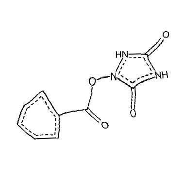 O=C(On1[nH]c(=O)[nH]c1=O)c1ccccc1